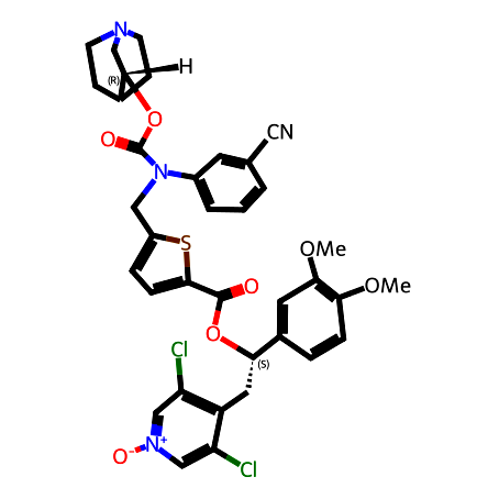 COc1ccc([C@H](Cc2c(Cl)c[n+]([O-])cc2Cl)OC(=O)c2ccc(CN(C(=O)O[C@H]3CN4CCC3CC4)c3cccc(C#N)c3)s2)cc1OC